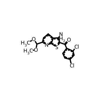 COC(OC)c1ccc2c(N)c(C(=O)c3ccc(Cl)cc3Cl)sc2n1